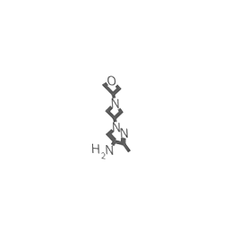 Cc1nn(C2CN(C3COC3)C2)cc1N